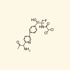 CC(=O)C(N)c1ccc(-c2ccc([C@@H](O)[C@@H](CF)NC(=O)C(Cl)Cl)cc2)cn1